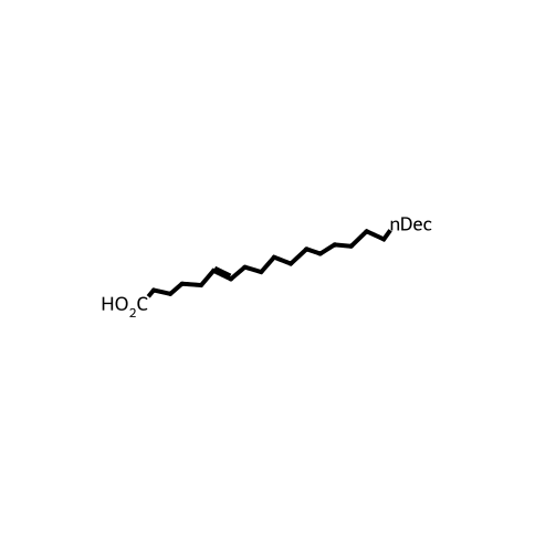 CCCCCCCCCCCCCCCCCCCCC=CCCCCC(=O)O